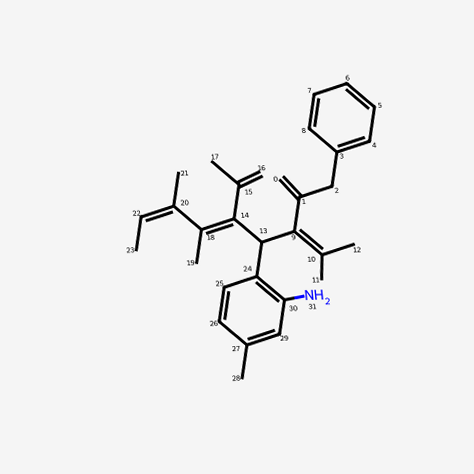 C=C(Cc1ccccc1)C(=C(C)C)C(/C(C(=C)C)=C(C)/C(C)=C\C)c1ccc(C)cc1N